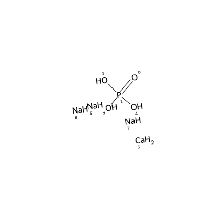 O=P(O)(O)O.[CaH2].[NaH].[NaH].[NaH]